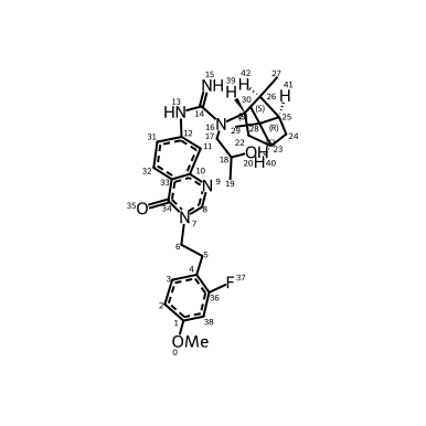 COc1ccc(CCn2cnc3cc(NC(=N)N(CC(C)O)[C@H]4C[C@@H]5C[C@H]([C@@H]4C)C5(C)C)ccc3c2=O)c(F)c1